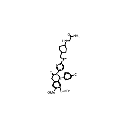 COc1cc2c(cc1OC(C)C)[C@H](c1ccc(Cl)cc1)N(c1ccc(N(C)CC3CCC(NCC(N)=O)CC3)nc1)C(=O)C2